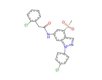 CS(=O)(=O)c1cc(NC(=O)Cc2ccccc2Cl)cc2c1cnn2-c1ccc(Cl)cc1